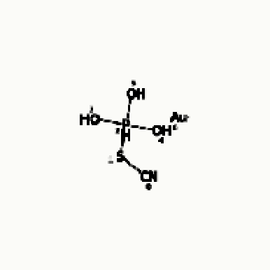 N#CS[PH](O)(O)O.[Au]